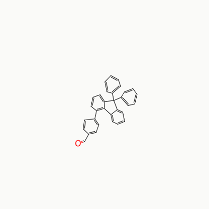 O=Cc1ccc(-c2cccc3c2-c2ccccc2C3(c2ccccc2)c2ccccc2)cc1